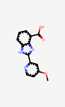 COc1ccnc(-c2nc3c(C(=O)O)cccc3[nH]2)c1